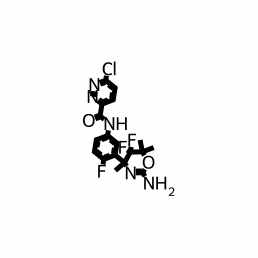 CC1(C)OC(N)=NC(C)(c2cc(NC(=O)c3ccc(Cl)nn3)ccc2F)C1(F)F